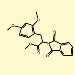 COC(=O)C(Cc1ccc(OC)cc1OC)N1C(=O)c2ccccc2C1=O